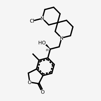 Cc1c([C@@H](O)CN2CCCC3(CCCN(Cl)C3)C2)ccc2c1COC2=O